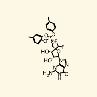 Cc1ccc(OP(=O)(OC[C@@]2(C(F)F)O[C@@H](n3cnc4c(=O)[nH]c(N)nc43)[C@H](O)[C@H]2O)Oc2ccc(C)cc2)cc1